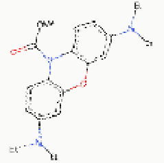 CCN(CC)c1ccc2c(c1)Oc1cc(N(CC)CC)ccc1N2C(=O)OC